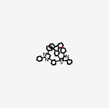 c1ccc(-c2cc(-c3cccc(-c4sc5c(c(-c6ccccc6)nc6ccccc65)c4-c4ccc5c6ccccc6c6ccccc6c5c4)c3)nc(-c3ccccc3)n2)cc1